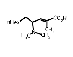 CCCCCCCC(C=C(C)C(=O)O)N(C)C